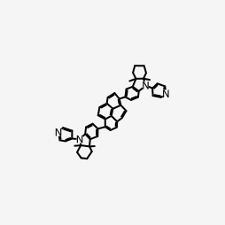 CC12CCCCC1(C)N(c1ccncc1)c1ccc(-c3ccc4ccc5c(-c6ccc7c(c6)C6(C)CCCCC6(C)N7c6ccncc6)ccc6ccc3c4c65)cc12